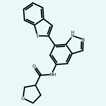 O=C(Nc1cc(-c2cc3ccccc3s2)c2[nH]ncc2c1)C1CCOC1